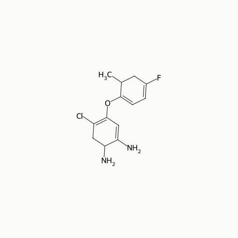 CC1CC(F)=CC=C1OC1=C(Cl)CC(N)C(N)=C1